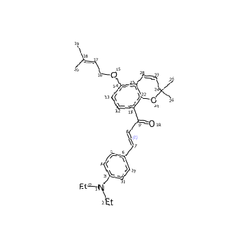 CCN(CC)c1ccc(/C=C/C(=O)c2ccc(OCC=C(C)C)c3c2OC(C)(C)C=C3)cc1